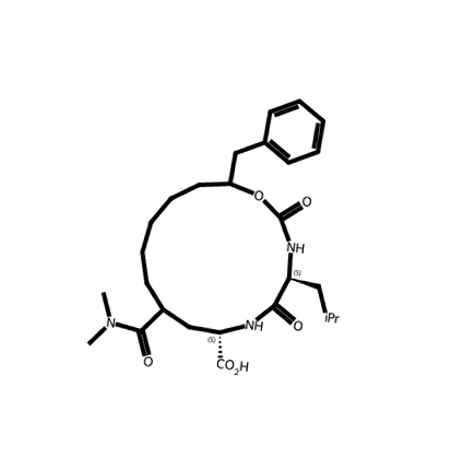 CC(C)C[C@@H]1NC(=O)OC(Cc2ccccc2)CCCCCC(C(=O)N(C)C)C[C@@H](C(=O)O)NC1=O